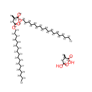 C=C(CC(=O)O)C(=O)O.C=C(CC(=O)OCCCCCCCCCCCCCCCCCC)C(=O)OCCCCCCCCCCCCCCCCCC